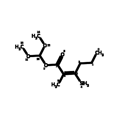 CCCC([SiH3])=C(C)C(=O)OC(OC)OC